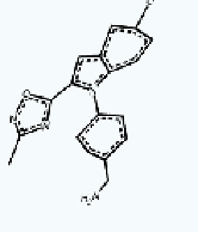 COc1ccc2c(c1)cc(-c1nc(C)no1)n2-c1ccc(CN)cc1